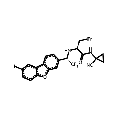 CC(C)C[C@H](N[C@@H](c1ccc2c(c1)oc1ccc(I)cc12)C(F)(F)F)C(=O)NC1(C#N)CC1